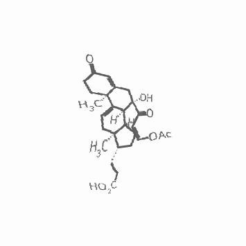 CC(=O)O/C=C\C(=O)[C@]1(O)CC2=CC(=O)CC[C@]2(C)C2=CC[C@]3(C)[C@@H](CCC(=O)O)CC[C@H]3[C@@H]21